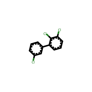 Clc1cccc(-c2c[c]cc(Cl)c2Cl)c1